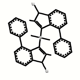 [Li][CH]1C(C)=C([Si](C)(C)C2=C(C)[CH]([Li])c3cccc(-c4ccccc4)c32)c2c(-c3ccccc3)cccc21